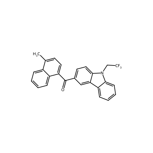 Cc1ccc(C(=O)c2ccc3c(c2)c2ccccc2n3CC(F)(F)F)c2ccccc12